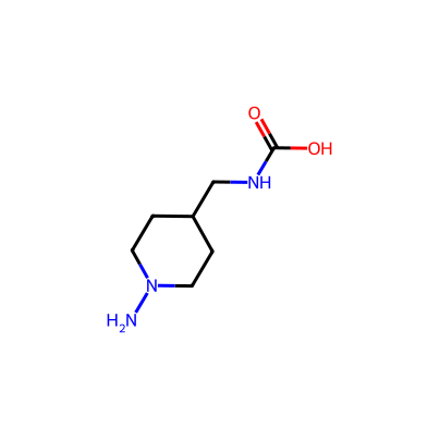 NN1CCC(CNC(=O)O)CC1